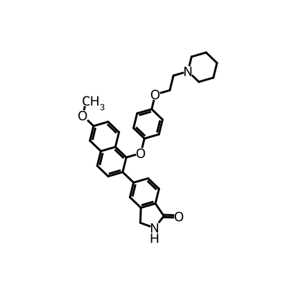 COc1ccc2c(Oc3ccc(OCCN4CCCCC4)cc3)c(-c3ccc4c(c3)CNC4=O)ccc2c1